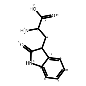 NC(CC1C(=O)Nc2ccccc21)C(=O)O